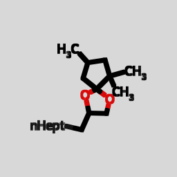 CCCCCCCCC1COC2(CC(C)CC2(C)C)O1